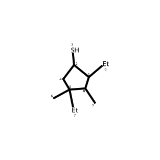 CCC1C(S)CC(C)(CC)C1C